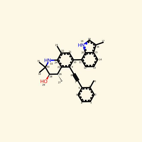 Cc1ccccc1C#Cc1c(-c2cccc3c(C)c[nH]c23)cc(C)c2c1[C@H](C)[C@@H](O)C(C)(C)N2